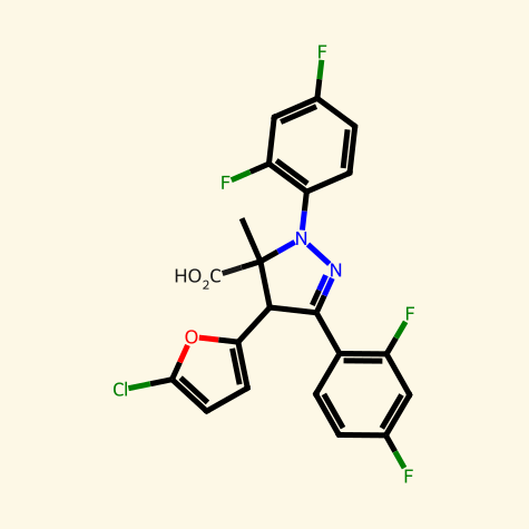 CC1(C(=O)O)C(c2ccc(Cl)o2)C(c2ccc(F)cc2F)=NN1c1ccc(F)cc1F